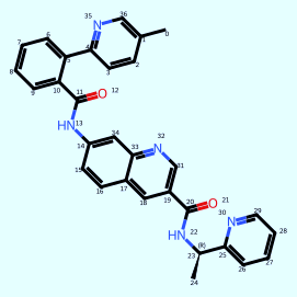 Cc1ccc(-c2ccccc2C(=O)Nc2ccc3cc(C(=O)N[C@H](C)c4ccccn4)cnc3c2)nc1